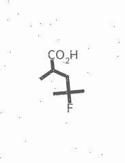 CC(CC(C)(C)F)C(=O)O